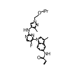 C=CC(=O)Nc1ccc2c(c1)c(C)cn2-c1nc(Nc2cn(CCOC(C)C)nc2C)ncc1F